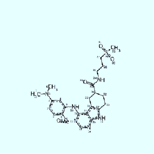 COc1ccc(N(C)C)cc1Nc1ncnc2[nH]c3c(c12)CC(C(=O)NCCCS(C)(=O)=O)CC3